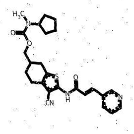 CN(C(=O)OCC1CCc2c(sc(NC(=O)/C=C/c3cccnc3)c2C#N)C1)C1CCCC1